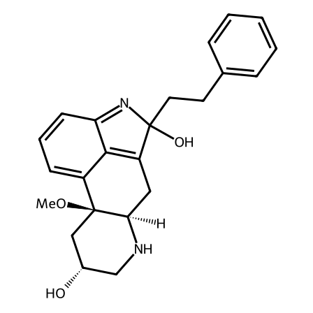 CO[C@]12C[C@@H](O)CN[C@@H]1CC1=c3c2cccc3=NC1(O)CCc1ccccc1